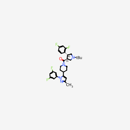 Cc1cc(C2CCN(C(=O)[C@@H]3CN(C(C)(C)C)C[C@H]3c3ccc(F)cc3F)CC2)n(-c2cc(F)cc(F)c2)n1